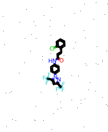 O=C(C=Cc1ccccc1Cl)Nc1ccc(-n2nc(C(F)(F)F)cc2C(F)(F)F)cc1